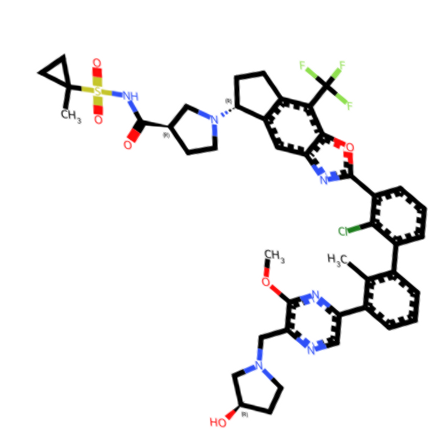 COc1nc(-c2cccc(-c3cccc(-c4nc5cc6c(c(C(F)(F)F)c5o4)CC[C@H]6N4CC[C@@H](C(=O)NS(=O)(=O)C5(C)CC5)C4)c3Cl)c2C)cnc1CN1CC[C@@H](O)C1